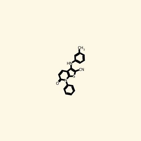 Cc1cccc(Nc2c(C#N)sc3c2ccc(=O)n3-c2ccccc2)c1